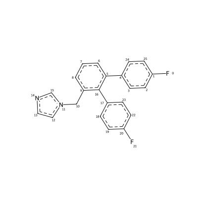 Fc1ccc(-c2cccc(Cn3ccnc3)c2-c2ccc(F)cc2)cc1